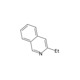 CCc1cc2ccccc2cn1